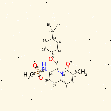 Cc1ccc2n(c1=O)C(COC1CCC(C3CC3)CC1)C(NS(C)(=O)=O)CC2